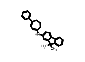 CC1(C)c2ccccc2-c2ccc(NC3=CC=C(c4ccccc4)CCC3)cc21